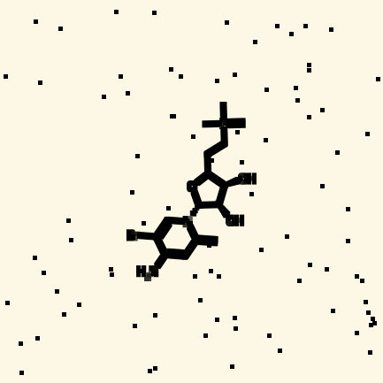 C=C1C=C(N)C(Br)=CN1[C@@H]1OC(CCP(=C)(C)C)[C@@H](O)[C@H]1O